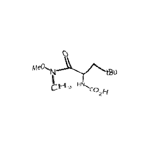 CON(C)C(=O)C(CC(C)(C)C)NC(=O)O